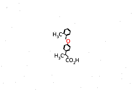 Cc1ccccc1COc1ccc(C(C)CC(=O)O)cc1